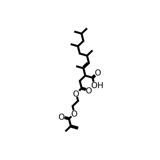 C=C(C)C(=O)OCCOC(=O)CC(C(=O)O)/C(C)=C/C(C)CC(C)CC(C)C